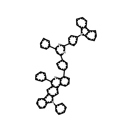 c1ccc(-c2cc(-c3ccc(-c4cccc5c4nc(-c4ccccc4)c4cc6c7ccccc7n(-c7ccccc7)c6cc45)cc3)nc(-c3ccc(-n4c5ccccc5c5ccccc54)cc3)n2)cc1